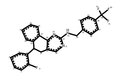 Fc1ccccc1C1Cc2cnc(NCc3ccc(C(F)(F)F)cc3)nc2-c2ccccc21